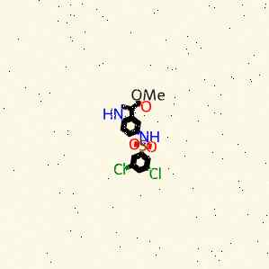 COC(=O)C1CNc2ccc(NS(=O)(=O)c3cc(Cl)cc(Cl)c3)cc21